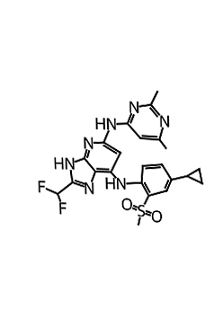 Cc1cc(Nc2cc(Nc3ccc(C4CC4)cc3S(C)(=O)=O)c3nc(C(F)F)[nH]c3n2)nc(C)n1